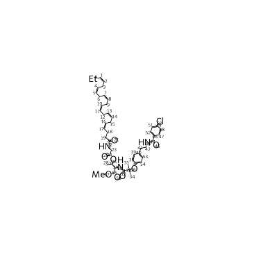 CC/C=C\C/C=C\C/C=C\C/C=C\C/C=C\C/C=C\CCC(=O)NCC(=O)OC(C)C(NC(=O)C(C)(C)Oc1ccc(CCNC(=O)c2ccc(Cl)cc2)cc1)C(=O)OC